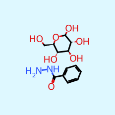 NNC(=O)c1ccccc1.OC[C@H]1OC(O)[C@H](O)[C@@H](O)[C@@H]1O